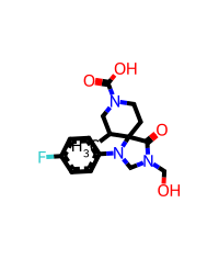 CC1CN(C(=O)O)CCC12C(=O)N(CO)CN2c1ccc(F)cc1